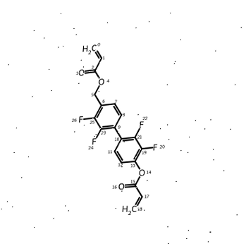 C=CC(=O)OCc1ccc(-c2ccc(OC(=O)C=C)c(F)c2F)c(F)c1F